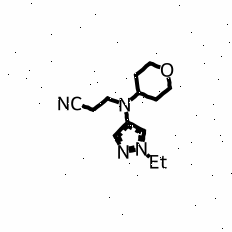 CCn1cc(N(CCC#N)C2CCOCC2)cn1